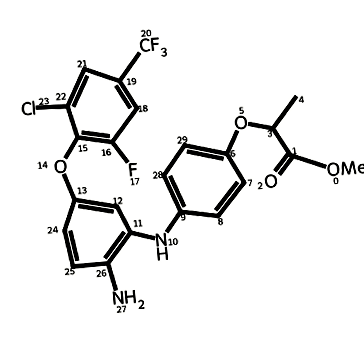 COC(=O)C(C)Oc1ccc(Nc2cc(Oc3c(F)cc(C(F)(F)F)cc3Cl)ccc2N)cc1